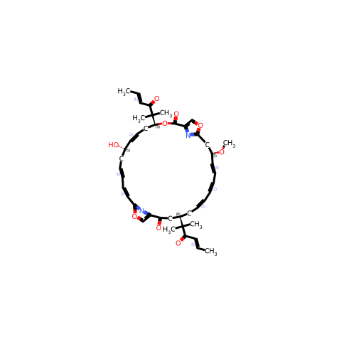 C/C=C/C(=O)C(C)(C)[C@@H]1C\C=C/C=C\C=C\[C@H](OC)Cc2nc(co2)C(=O)O[C@H](C(C)(C)C(=O)/C=C/C)C/C=C\[C@@H](O)C/C=C/C=C\c2nc(co2)C(=O)C1